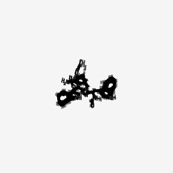 COc1ccc(Cn2c(C(Cc3c[nH]c4ccccc34)NC=O)nnc2C(Cc2c[nH]c3ccccc23)NC(=O)C(C)(C)N)cc1